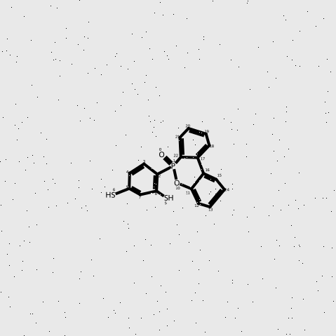 O=P1(c2ccc(S)cc2S)Oc2ccccc2-c2ccccc21